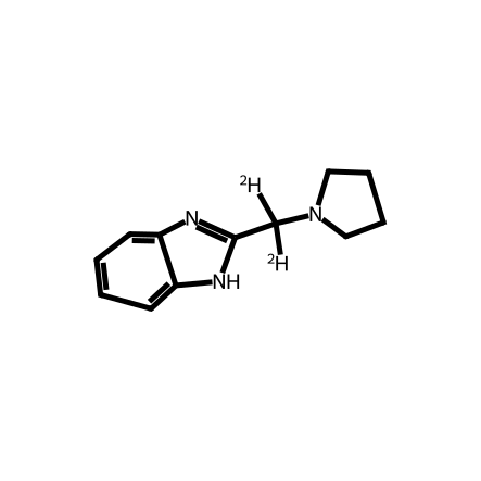 [2H]C([2H])(c1nc2ccccc2[nH]1)N1CCCC1